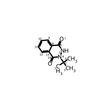 CC(C)(C)n1[nH]c(=O)c2ccccc2c1=O